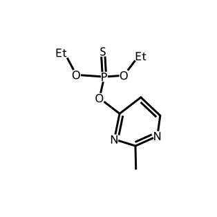 CCOP(=S)(OCC)Oc1ccnc(C)n1